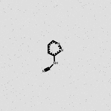 N#CNc1cccnn1